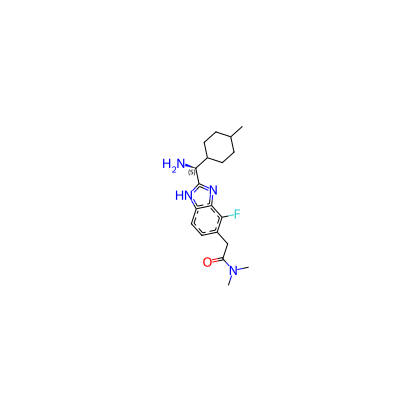 CC1CCC([C@H](N)c2nc3c(F)c(CC(=O)N(C)C)ccc3[nH]2)CC1